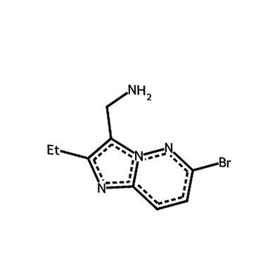 CCc1nc2ccc(Br)nn2c1CN